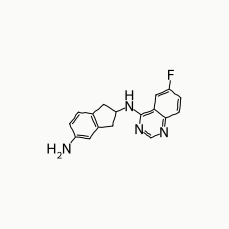 Nc1ccc2c(c1)CC(Nc1ncnc3ccc(F)cc13)C2